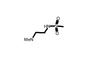 CNCCNS(C)(=O)=O